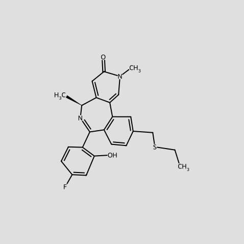 CCSCc1ccc2c(c1)-c1cn(C)c(=O)cc1[C@H](C)N=C2c1ccc(F)cc1O